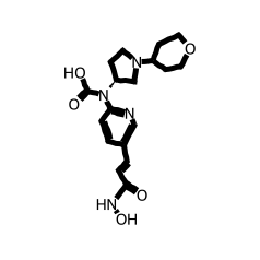 O=C(C=Cc1ccc(N(C(=O)O)[C@@H]2CCN(C3CCOCC3)C2)nc1)NO